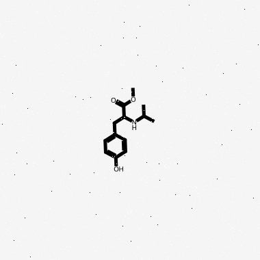 COC(=O)C(Cc1ccc(O)cc1)NC(C)C